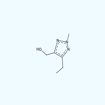 CCc1nn(C)nc1CO